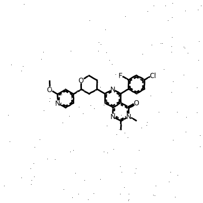 COc1cc(C2CC(c3cc4nc(C)n(C)c(=O)c4c(-c4ccc(Cl)cc4F)n3)CCO2)ccn1